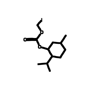 CC1CCC(C(C)C)C(OC(=O)OCI)C1